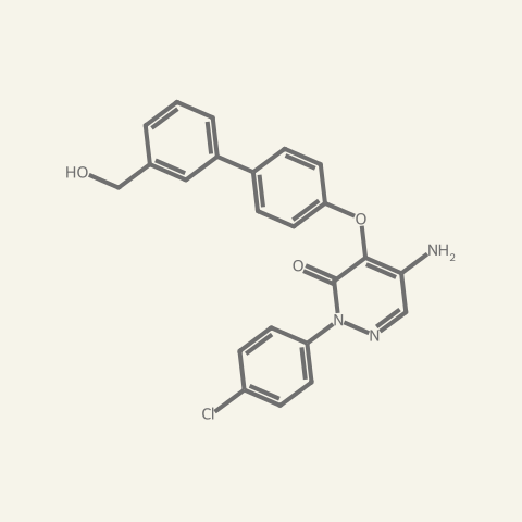 Nc1cnn(-c2ccc(Cl)cc2)c(=O)c1Oc1ccc(-c2cccc(CO)c2)cc1